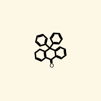 O=C1C2=C(CCC=C2)C(c2ccccc2)(c2ccccc2)c2ccccc21